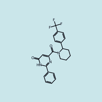 O=C(c1cc(=O)[nH]c(-c2ccccc2)n1)N1CCCCC1c1ccc(C(F)(F)F)cc1